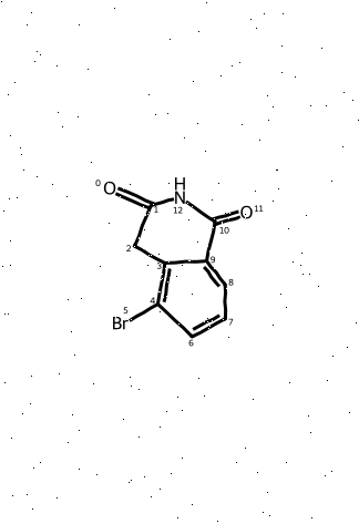 O=C1Cc2c(Br)cccc2C(=O)N1